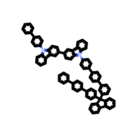 c1ccc(-c2ccc(-c3ccc(C4(c5cccc(-c6ccc(-c7ccc(-n8c9ccccc9c9cc(-c%10ccc%11c(c%10)c%10ccccc%10n%11-c%10ccc(-c%11ccccc%11)cc%10)ccc98)cc7)cc6)c5)c5ccccc5-c5ccccc54)cc3)cc2)cc1